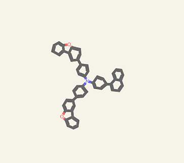 c1ccc2c(-c3ccc(N(c4ccc(-c5ccc6oc7ccccc7c6c5)cc4)c4ccc(-c5ccc6oc7ccccc7c6c5)cc4)cc3)cccc2c1